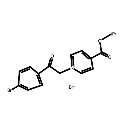 CC(C)OC(=O)c1cc[n+](CC(=O)c2ccc(Br)cc2)cc1.[Br-]